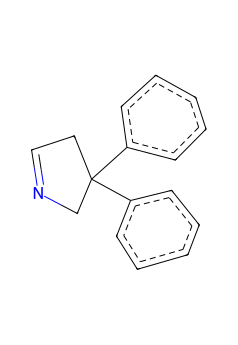 C1=NCC(c2ccccc2)(c2ccccc2)C1